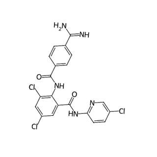 N=C(N)c1ccc(C(=O)Nc2c(Cl)cc(Cl)cc2C(=O)Nc2ccc(Cl)cn2)cc1